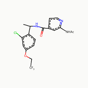 CC(=O)Nc1cc(C(=O)NC(C)c2ccc(OCC(F)(F)F)cc2Cl)ccn1